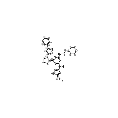 Cc1cc(Nc2cc(NCCN3CCOCC3)nc(N3CCC[C@H]3c3cc(-c4ccccn4)no3)n2)n[nH]1